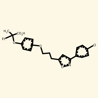 CCC(C)(Oc1ccc(OCCCc2cc(-c3ccc(Cl)cc3)no2)cc1)C(=O)O